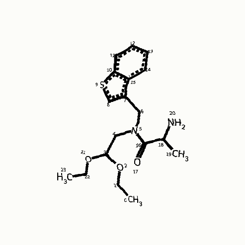 CCOC(CN(Cc1csc2ccccc12)C(=O)C(C)N)OCC